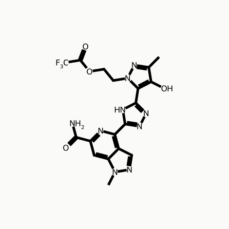 Cc1nn(CCOC(=O)C(F)(F)F)c(-c2nnc(-c3nc(C(N)=O)cc4c3cnn4C)[nH]2)c1O